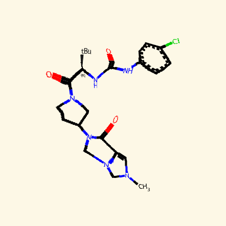 CN1C=C2C(=O)N(C3CCN(C(=O)[C@H](NC(=O)Nc4ccc(Cl)cc4)C(C)(C)C)C3)CN2C1